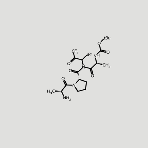 CC(C)C(C(=O)C(F)(F)F)N(C(=O)[C@H](C)NC(=O)OC(C)(C)C)C(=O)[C@@H]1CCCN1C(=O)[C@H](C)N